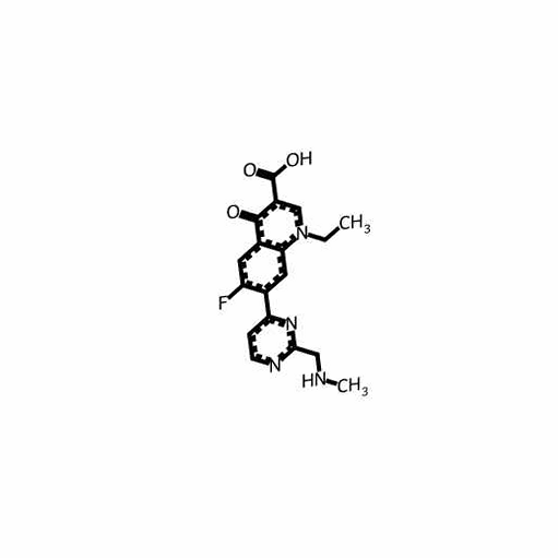 CCn1cc(C(=O)O)c(=O)c2cc(F)c(-c3ccnc(CNC)n3)cc21